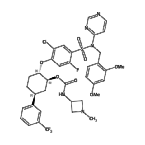 COc1ccc(CN(c2ccncn2)S(=O)(=O)c2cc(Cl)c(O[C@H]3CC[C@H](c4cccc(C(F)(F)F)c4)C[C@@H]3OC(=O)NC3CN(C)C3)cc2F)c(OC)c1